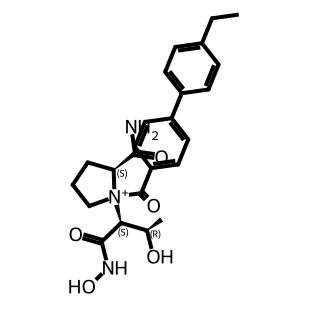 CCc1ccc(-c2ccc(C(=O)[N+]3([C@H](C(=O)NO)[C@@H](C)O)CCC[C@H]3C(N)=O)cc2)cc1